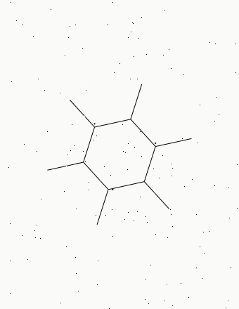 C[C]1C(C)[C](C)C(C)[C](C)C1C